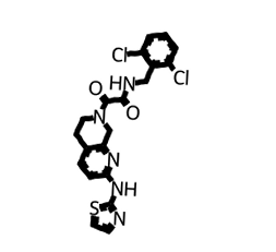 O=C(NCc1c(Cl)cccc1Cl)C(=O)N1CCc2ccc(Nc3nccs3)nc2C1